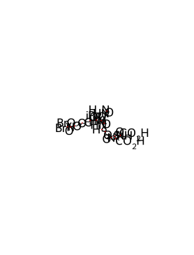 CC(C)C(NC(=O)CCOCCOCCOCCN1C(=O)C(Br)=C(Br)C1=O)C(=O)N[C@@H](CCCNC(N)=O)C(=O)Nc1ccc(COC(=O)N2CCc3c(sc(NC(=O)C(=O)O)c3C(=O)O)C2)cc1